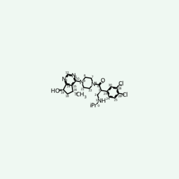 CC(C)NC[C@@H](C(=O)N1CCN(c2ncnc3c2[C@H](C)C[C@H]3O)CC1)c1ccc(Cl)c(Cl)c1